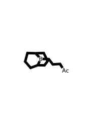 CC(=O)CCCB1C2CCCC1CCC2